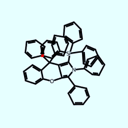 c1ccc(-c2c3c(c([Si](c4ccccc4)(c4ccccc4)c4ccccc4)n2-c2ccccc2)C(c2ccccc2)(c2ccccc2)c2ccccc2O3)cc1